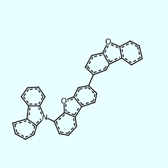 c1ccc2c(c1)oc1ccc(-c3ccc4c(c3)oc3c(-n5c6ccccc6c6ccccc65)cccc34)cc12